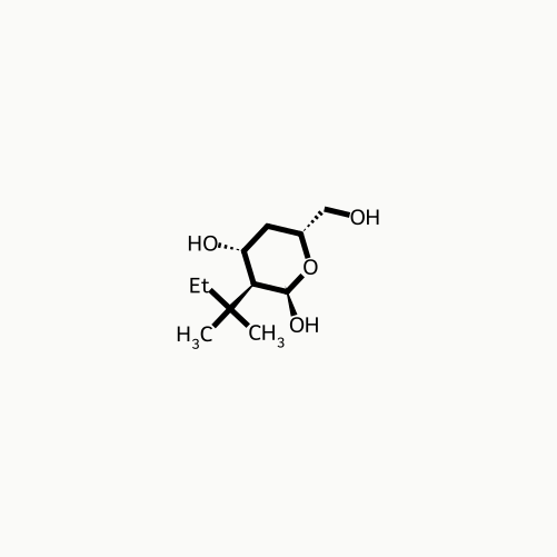 CCC(C)(C)[C@H]1[C@H](O)C[C@H](CO)O[C@H]1O